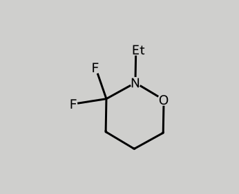 CCN1OCCCC1(F)F